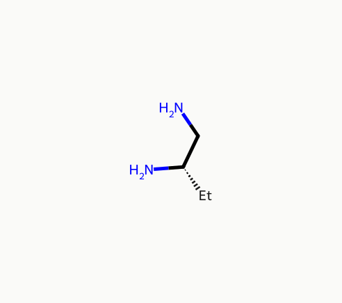 CC[C@H](N)CN